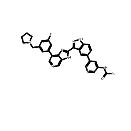 CCC(=O)Nc1cncc(-c2ccc3[nH]nc(-c4nc5c(-c6cc(F)cc(CN7CCCC7)c6)cncc5[nH]4)c3c2)c1